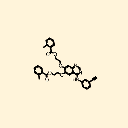 C#Cc1cccc(Nc2ncnc3cc(OCCOC(=O)c4ccccc4C)c(OCCOC(=O)c4ccccc4C)cc23)c1